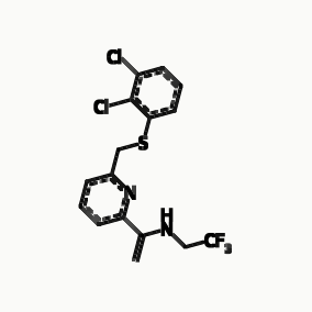 C=C(NCC(F)(F)F)c1cccc(CSc2cccc(Cl)c2Cl)n1